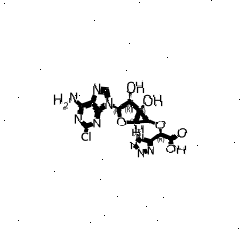 Nc1nc(Cl)nc2c1ncn2[C@@H]1O[C@@H]2C(O[C@@H](C(=O)O)c3nnn[nH]3)[C@]2(O)[C@H]1O